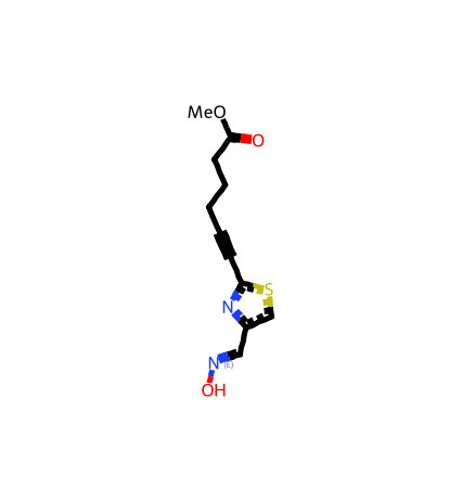 COC(=O)CCCC#Cc1nc(/C=N/O)cs1